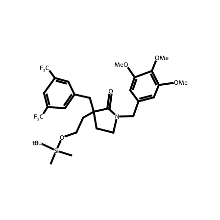 COc1cc(CN2CCC(CCO[Si](C)(C)C(C)(C)C)(Cc3cc(C(F)(F)F)cc(C(F)(F)F)c3)C2=O)cc(OC)c1OC